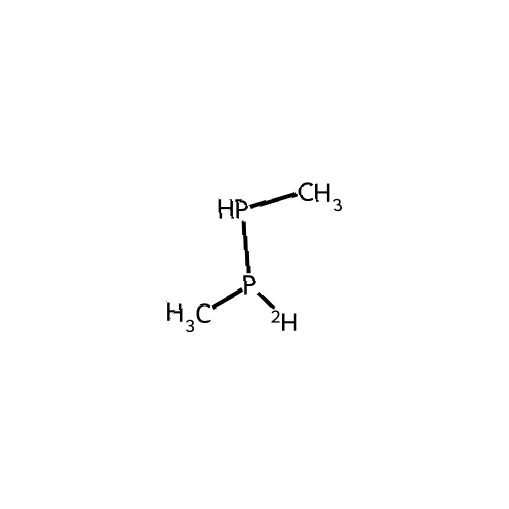 [2H]P(C)PC